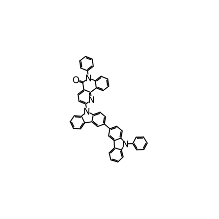 O=c1c2ccc(-n3c4ccccc4c4cc(-c5ccc6c(c5)c5ccccc5n6-c5ccccc5)ccc43)nc2c2ccccc2n1-c1ccccc1